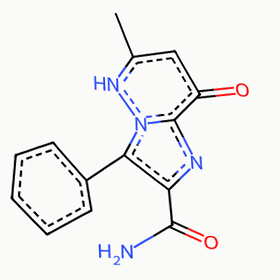 Cc1cc(=O)c2nc(C(N)=O)c(-c3ccccc3)n2[nH]1